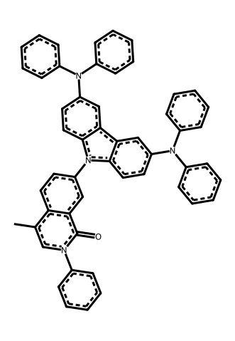 Cc1cn(-c2ccccc2)c(=O)c2cc(-n3c4ccc(N(c5ccccc5)c5ccccc5)cc4c4cc(N(c5ccccc5)c5ccccc5)ccc43)ccc12